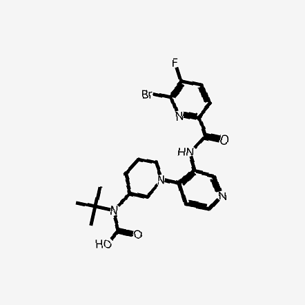 CC(C)(C)N(C(=O)O)C1CCCN(c2ccncc2NC(=O)c2ccc(F)c(Br)n2)C1